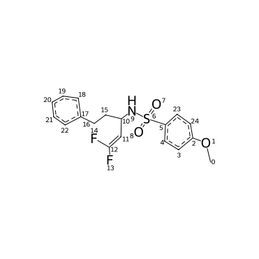 COc1ccc(S(=O)(=O)NC(C=C(F)F)CCc2ccccc2)cc1